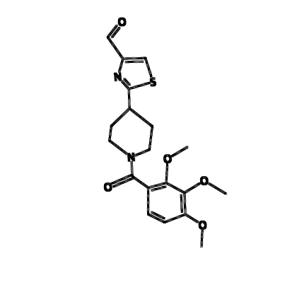 COc1ccc(C(=O)N2CCC(c3nc(C=O)cs3)CC2)c(OC)c1OC